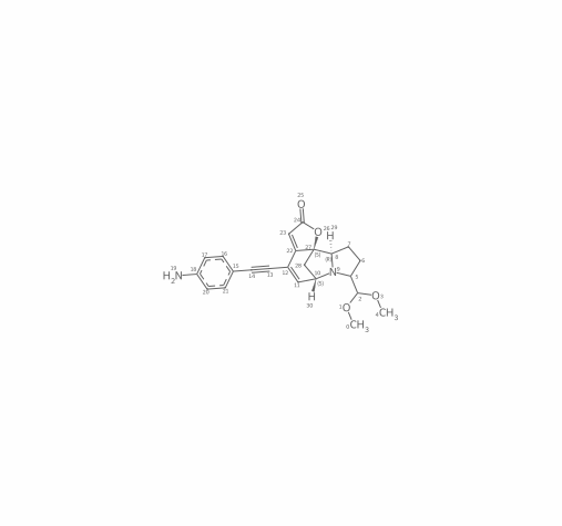 COC(OC)C1CC[C@H]2N1[C@@H]1C=C(C#Cc3ccc(N)cc3)C3=CC(=O)O[C@@]32C1